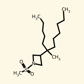 CCCCCCC(C)(CCCCC)C1CN(S(C)(=O)=O)C1